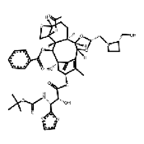 C=C1C2=C(C)[C@@H](OC(=O)[C@H](O)[C@@H](NC(=O)OC(C)(C)C)c3nccs3)C[C@@]1(O)[C@@H](OC(=O)c1ccccc1)[C@H]1[C@@](C)(CC[C@H]3OC[C@]31OC(C)=O)[C@@H]1O[C@H](CN3CC[C@H]3CO)O[C@H]21